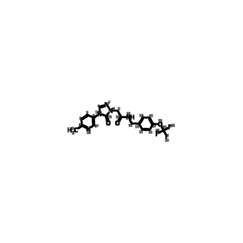 Cc1ccc(-n2cnn(CC(=O)NCc3ccc(OC(F)(F)F)cc3)c2=O)cn1